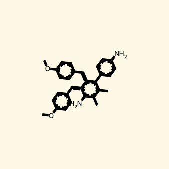 COc1ccc(C=c2c(N)c(C)c(C)c(-c3ccc(N)cc3)c2=Cc2ccc(OC)cc2)cc1